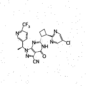 C[C@@H](c1ccc(C(F)(F)F)nc1)n1nc(C#N)c2c(=O)[nH]c([C@@H]3CC[C@H]3c3ncc(Cl)cn3)nc21